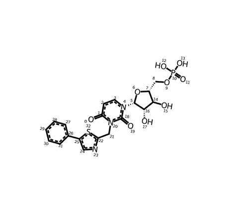 O=c1ccn([C@@H]2O[C@H](COP(=O)(O)O)C(O)[C@@H]2O)c(=O)n1Cc1ncc(-c2ccccc2)s1